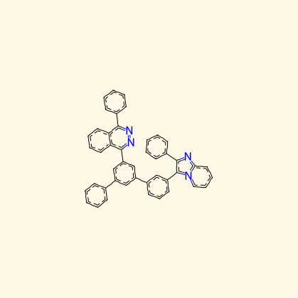 c1ccc(-c2cc(-c3cccc(-c4c(-c5ccccc5)nc5ccccn45)c3)cc(-c3nnc(-c4ccccc4)c4ccccc34)c2)cc1